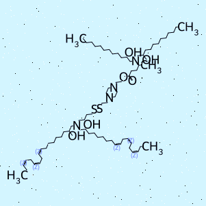 CC/C=C\C/C=C\C/C=C\CCCCCCC(O)CN(CCCCSSCCN1CCN(CCOC(=O)CCC(C)N(CC(O)CCCCCCCCCC)CC(O)CCCCCCCCCC)CC1)CC(O)CCCCCC/C=C\C/C=C\C/C=C\CC